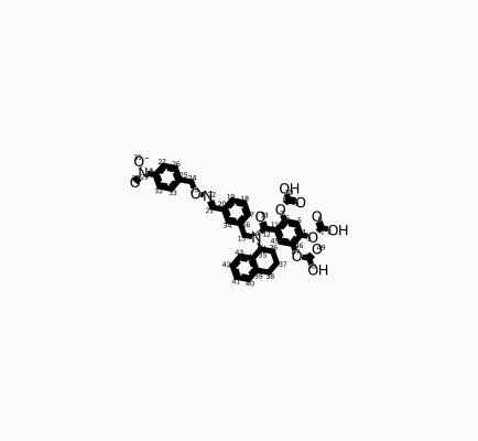 O=C(O)Oc1cc(OC(=O)O)c(C(=O)N(Cc2cccc(C=NOCc3ccc([N+](=O)[O-])cc3)c2)[C@H]2CCCc3ccccc32)cc1OC(=O)O